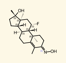 CC1=C2CC[C@@H]3[C@H]([C@@H](F)C[C@@]4(C)[C@H]3CC[C@]4(C)O)[C@@]2(C)CC/C1=N\O